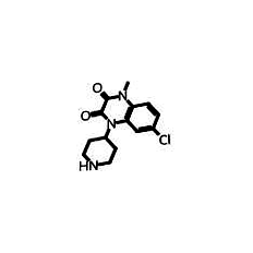 Cn1c(=O)c(=O)n(C2CCNCC2)c2cc(Cl)ccc21